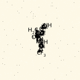 C=CCn1c(=O)c2cnc(Nc3ccc(OCC(F)(F)F)cc3)nc2n1-c1cccc(OC2CCNCC2)n1